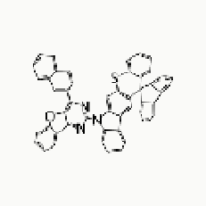 c1ccc2c(c1)Sc1cc3c(cc1C21c2ccccc2-c2ccccc21)c1ccccc1n3-c1nc(-c2ccc3ccccc3c2)c2oc3ccccc3c2n1